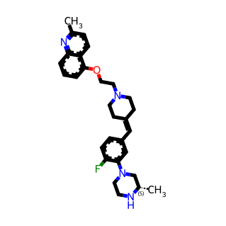 Cc1ccc2c(OCCN3CCC(=Cc4ccc(F)c(N5CCN[C@@H](C)C5)c4)CC3)cccc2n1